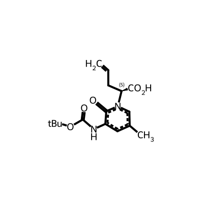 C=CC[C@@H](C(=O)O)n1cc(C)cc(NC(=O)OC(C)(C)C)c1=O